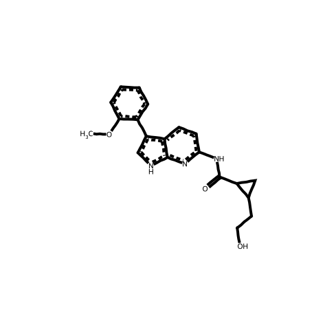 COc1ccccc1-c1c[nH]c2nc(NC(=O)C3CC3CCO)ccc12